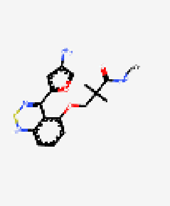 CCCNC(=O)C(C)(C)COc1cccc2c1C(c1cc(N)co1)=NSN2